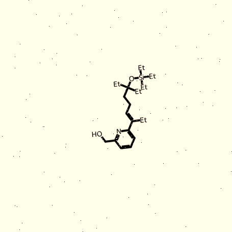 CCC(=CCCC(CC)(CC)O[Si](CC)(CC)CC)c1cccc(CO)n1